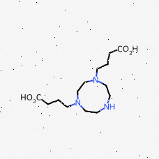 O=C(O)CCCN1CCNCCN(CCCC(=O)O)CC1